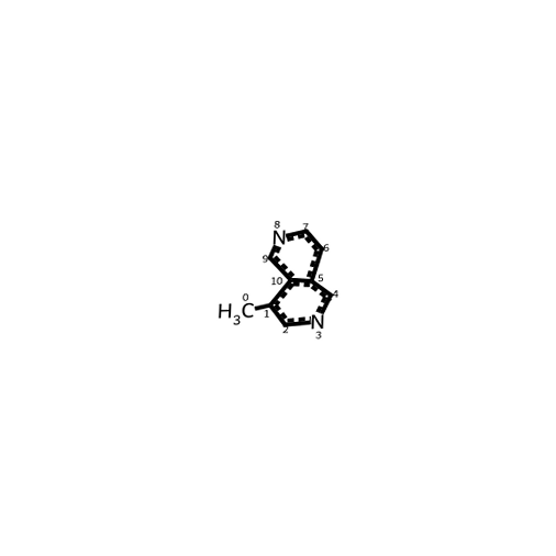 Cc1cn[c]c2ccncc12